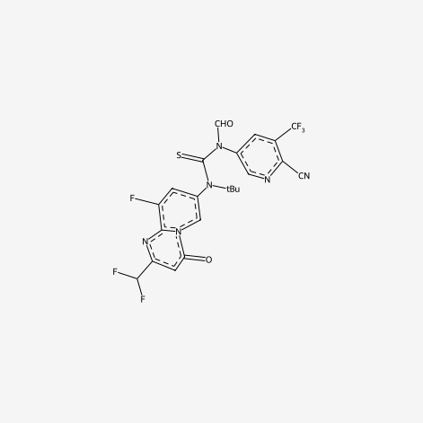 CC(C)(C)N(C(=S)N(C=O)c1cnc(C#N)c(C(F)(F)F)c1)c1cc(F)c2nc(C(F)F)cc(=O)n2c1